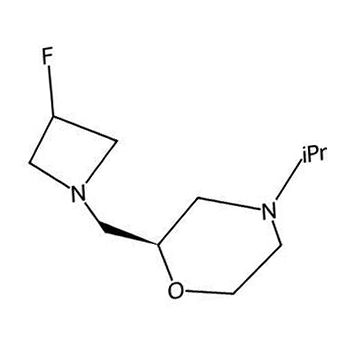 CC(C)N1CCO[C@@H](CN2CC(F)C2)C1